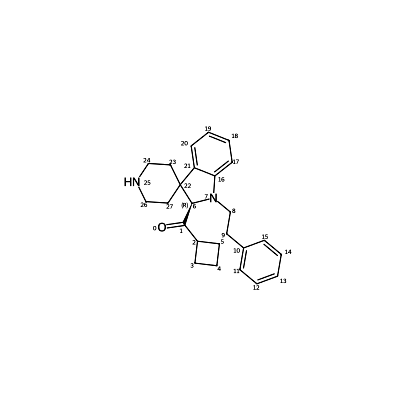 O=C(C1CCC1)[C@@H]1N(CCc2ccccc2)c2ccccc2C12CCNCC2